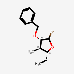 CC[C@H]1OC(Br)[C@@H](OCc2ccccc2)[C@@H]1C